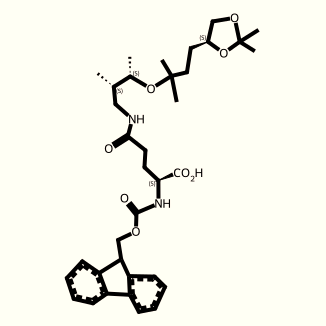 C[C@H](OC(C)(C)CC[C@H]1COC(C)(C)O1)[C@@H](C)CNC(=O)CC[C@H](NC(=O)OCC1c2ccccc2-c2ccccc21)C(=O)O